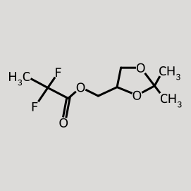 CC1(C)OCC(COC(=O)C(C)(F)F)O1